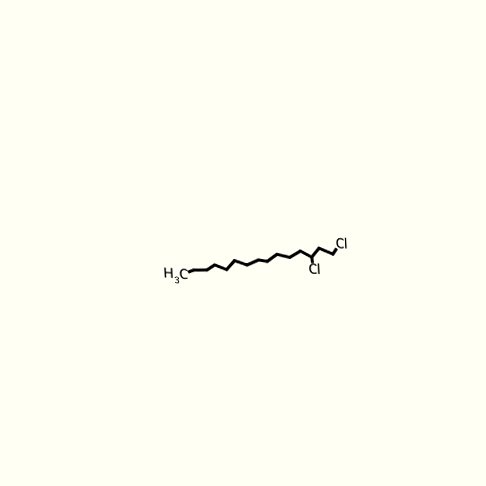 CCCCCCCCCCCCC(Cl)CCCl